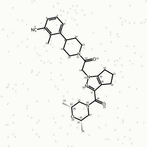 Cc1c(C#N)cccc1C1CCN(C(=O)Cn2nc(C(=O)N3C[C@@H](C)O[C@@H](C)C3)c3c2CCC3)CC1